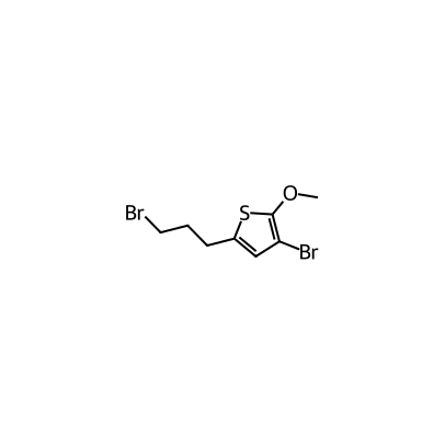 COc1sc(CCCBr)cc1Br